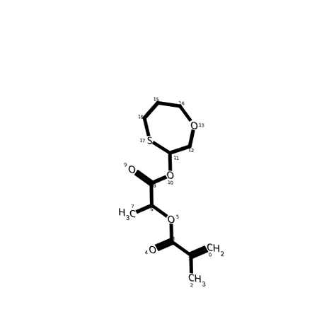 C=C(C)C(=O)OC(C)C(=O)OC1COCCCS1